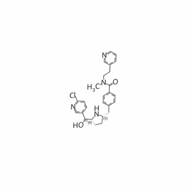 CN(CCc1cccnc1)C(=O)c1ccc(C[C@@H]2CC[C@H]([C@H](O)c3ccc(Cl)nc3)N2)cc1